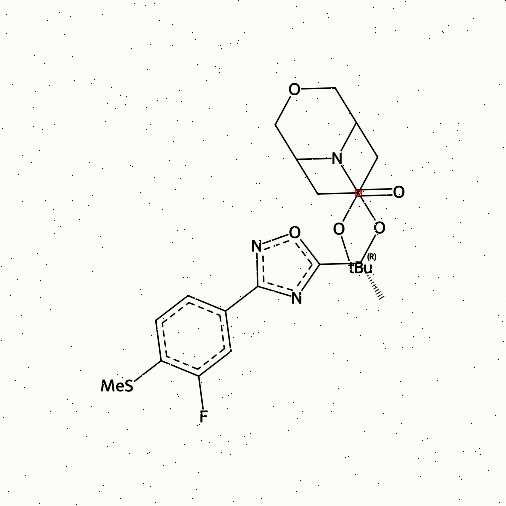 CSc1ccc(-c2noc([C@@H](C)OC3CC4COCC(C3)N4C(=O)OC(C)(C)C)n2)cc1F